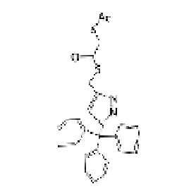 CC(=O)SCC(=O)SCc1cn(C(c2ccccc2)(c2ccccc2)c2ccccc2)nn1